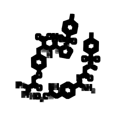 COC(=O)[C@H](Cc1ccc(OCC(=O)N(C(C)C)C(C)C)cc1)NC(=O)[C@@H]1CCCN1S(=O)(=O)c1ccc(C)cc1.Cc1ccc(S(=O)(=O)N(C)CC(=O)N=C(N)c2ccc(C[C@H](N)C(=O)O)cc2)cc1